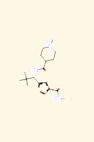 CN1CCC(C(=O)N[C@H](c2cc(C(=O)NO)cs2)C(C)(C)C)CC1